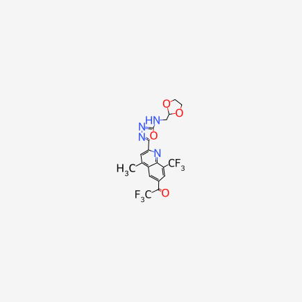 Cc1cc(-c2nnc(NCC3OCCO3)o2)nc2c(C(F)(F)F)cc(C(=O)C(F)(F)F)cc12